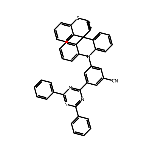 N#Cc1cc(-c2nc(-c3ccccc3)nc(-c3ccccc3)n2)cc(N2c3ccccc3C3(c4ccccc4Sc4ccccc43)c3ccccc32)c1